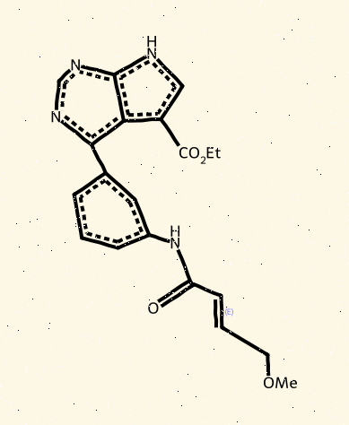 CCOC(=O)c1c[nH]c2ncnc(-c3cccc(NC(=O)/C=C/COC)c3)c12